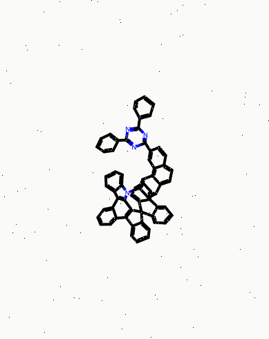 c1ccc(-c2nc(-c3ccccc3)nc(-c3ccc4ccc5ccc(-n6c7ccccc7c7c8ccccc8c8c(c76)C6(c7ccccc7-c7ccccc76)c6ccccc6-8)cc5c4c3)n2)cc1